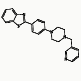 c1cncc(CN2CCN(c3ccc(-c4nc5ccccc5s4)cc3)CC2)c1